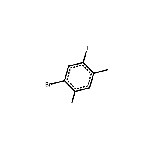 Cc1cc(F)c(Br)cc1I